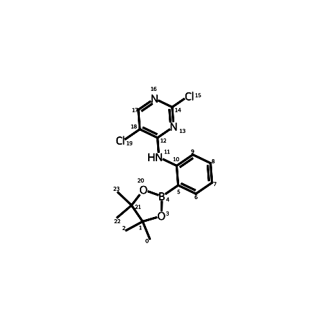 CC1(C)OB(c2ccccc2Nc2nc(Cl)ncc2Cl)OC1(C)C